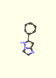 [c]1cnc2cc(-c3ccccc3)[nH]n12